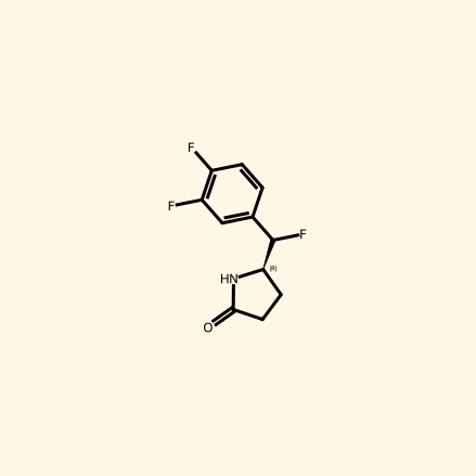 O=C1CC[C@H](C(F)c2ccc(F)c(F)c2)N1